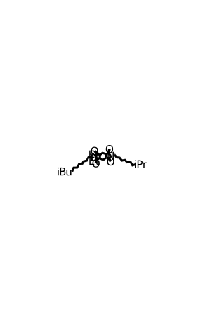 CCC(C)CCCCCCCCC(CC)(CC)N1C(=O)C2CC3C(=O)N(CCCCCCCCC(C)C)C(=O)C3CC2C1=O